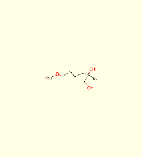 CCCCOCCCCC(O)(CC)CO